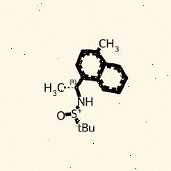 Cc1ccc([C@@H](C)N[S+]([O-])C(C)(C)C)c2ccccc12